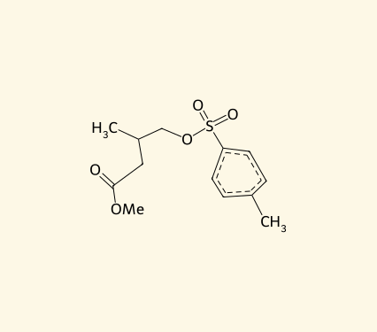 COC(=O)CC(C)COS(=O)(=O)c1ccc(C)cc1